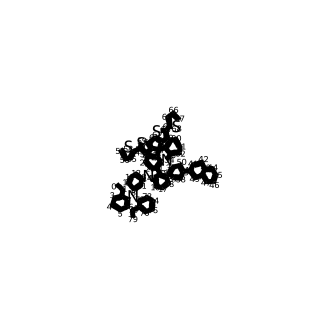 CCc1ccccc1N(c1cccc(-n2c3ccccc3c3c4c(ccc32)C2(c3ccccc3N4c3cccc(-c4ccc5ccccc5c4)c3)c3cc(-c4cccs4)sc3-c3sc(-c4cccs4)cc32)c1)c1ccccc1CC